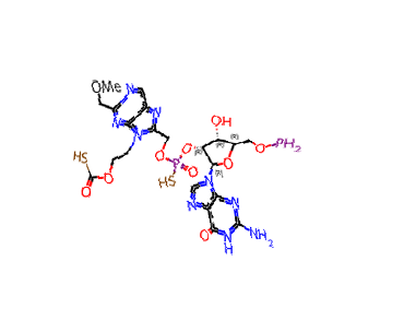 COCc1ncc2nc(COP(=O)(S)O[C@@H]3[C@H](O)[C@@H](COP)O[C@H]3n3cnc4c(=O)[nH]c(N)nc43)n(CCOC(=O)S)c2n1